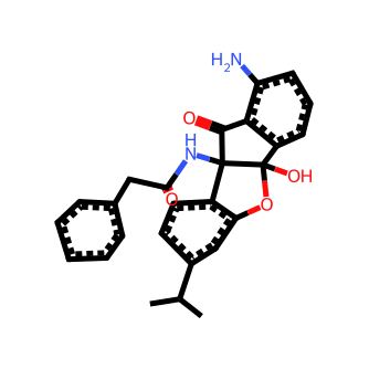 CC(C)c1ccc2c(c1)OC1(O)c3cccc(N)c3C(=O)C21NC(=O)Cc1ccccc1